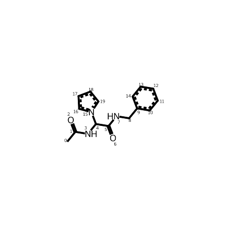 CC(=O)NC(C(=O)NCc1ccccc1)n1cccc1